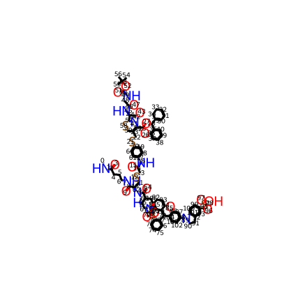 CNC(=O)CCCNC(=O)C(CSCC(=O)Nc1ccc(SCC2=C(C(=O)OC(C3=CC=CCC3)c3ccccc3)N3C(=O)C(NC(=O)CNC(=O)OC(C)(C)C)C3SC2)cc1)NC(=O)C1CCN(S(=O)(=O)c2ccccc2C2=C3C=CCC=C3Oc3cc(N4CCc5cc(S(=O)(=O)O)ccc54)ccc32)CC1